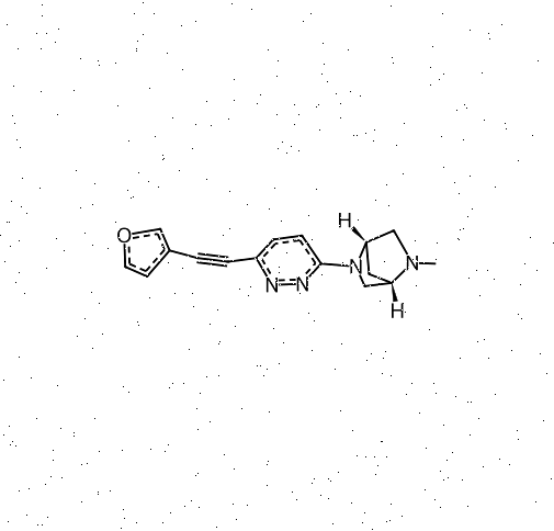 CN1C[C@@H]2C[C@H]1CN2c1ccc(C#Cc2ccoc2)nn1